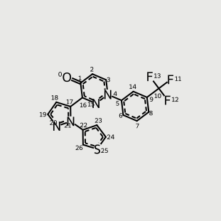 O=c1ccn(-c2cccc(C(F)(F)F)c2)nc1-c1ccnn1-c1ccsc1